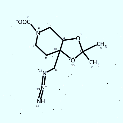 CC1(C)OC2CN(C(=O)[O-])CCC2(CN=[N+]=N)O1